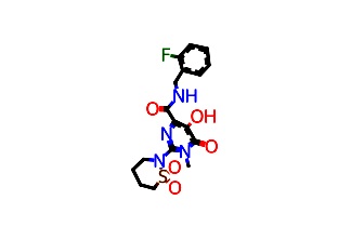 Cn1c(N2CCCCS2(=O)=O)nc(C(=O)NCc2ccccc2F)c(O)c1=O